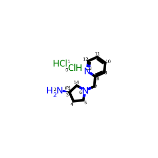 Cl.Cl.N[C@@H]1CCN(Cc2ccccn2)C1